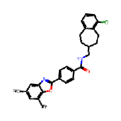 CC(C)c1cc(C#N)cc2nc(-c3ccc(C(=O)NCC4CCc5cccc(Cl)c5CC4)cc3)oc12